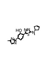 Cc1cnn(-c2ccc(-c3nnc(N(C)C4CC=CC4)s3)c(O)c2)n1